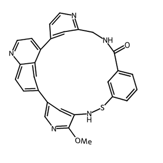 COc1ncc2cc1NSc1cccc(c1)C(=O)NCc1cc(ccn1)-c1ccnc3ccc-2cc13